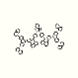 c1ccc2c(-c3ccc4c(c3)c3cc(-c5cccc6ccccc56)ccc3n4-c3ccc(N(c4ccc(-c5nc6ccccc6nc5-c5ccc(N(c6ccc(-n7c8ccc(-c9cccc%10ccccc9%10)cc8c8cc(-c9cccc%10ccccc9%10)ccc87)cc6)c6cccc7cccnc67)cc5)cc4)c4cccc5cccnc45)cc3)cccc2c1